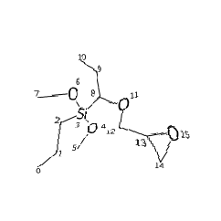 CCC[Si](OC)(OC)C(CC)OCC1CO1